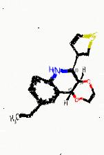 CCc1ccc2c(c1)[C@H]1OCCO[C@H]1[C@H](C1C=CSC1)N2